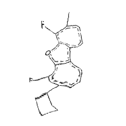 Cc1ccc2c(oc3c(F)c(C4CCC4)ccc32)c1F